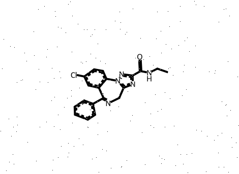 CCNC(=O)c1nc2n(n1)-c1ccc(Cl)cc1C(c1ccccc1)=NC2